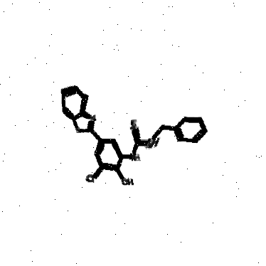 Oc1c(Cl)cc(-c2nc3ccccc3s2)cc1NC(=S)NCc1ccccc1